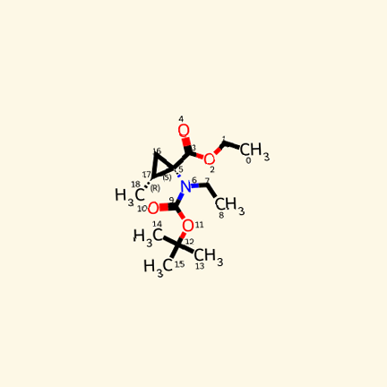 CCOC(=O)[C@]1(N(CC)C(=O)OC(C)(C)C)C[C@H]1C